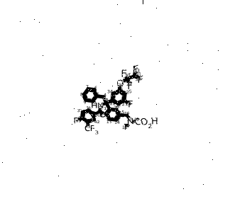 O=C(NC(Cc1ccccc1)(c1cccc(CN(F)C(=O)O)c1)c1cc(F)cc(OC(F)(F)C(F)F)c1)c1ccc(F)c(C(F)(F)F)c1